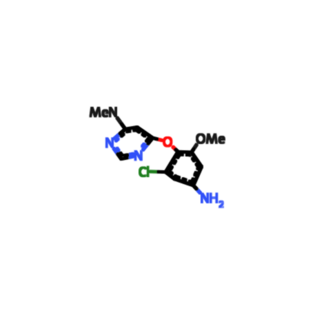 CNc1cc(Oc2c(Cl)cc(N)cc2OC)ncn1